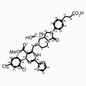 COC(=O)C1=C(CN2CCN3C(=O)N(c4ccc(CCC(=O)O)cc4)C[C@@H]3[C@H]2CO)NC(c2nccs2)=N[C@H]1c1ccc(Cl)cc1Cl